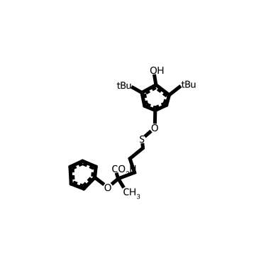 CC(CCCSOc1cc(C(C)(C)C)c(O)c(C(C)(C)C)c1)(Oc1ccccc1)C(=O)O